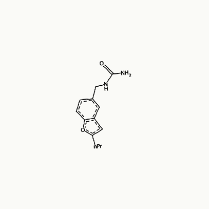 CCCc1cc2cc(CNC(N)=O)ccc2o1